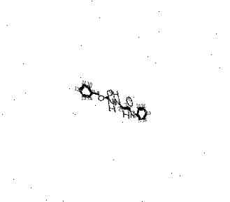 O=C(CNNC(=O)OCc1ccccc1)Nc1c[c]ccc1